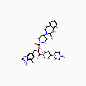 Cc1cc(C[C@@H](OC(=O)N2CCC(N3CCc4ccccc4NC3=O)CC2)C(=O)N2CCC(N3CCN(C)CC3)CC2)cc2ncn(C)c12